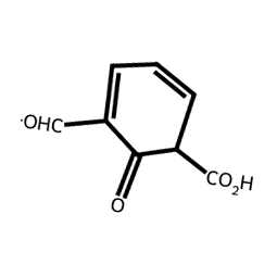 O=[C]C1=CC=CC(C(=O)O)C1=O